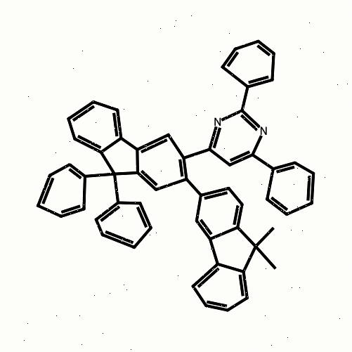 CC1(C)c2ccccc2-c2cc(-c3cc4c(cc3-c3cc(-c5ccccc5)nc(-c5ccccc5)n3)-c3ccccc3C4(c3ccccc3)c3ccccc3)ccc21